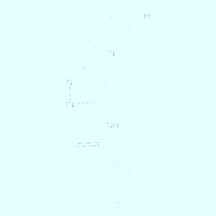 CS(=O)(=O)N1Cc2n[nH]c(NC(=O)c3cccs3)c2C1